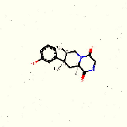 C[C@H]1CN2C(=O)CNC(=O)[C@H]2C[C@@]1(C)c1cccc(O)c1